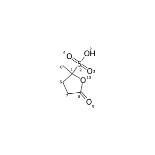 CC1(S(=O)(=O)O)CCC(=O)O1